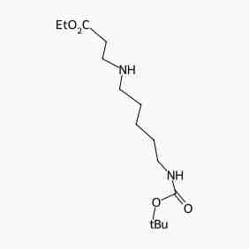 CCOC(=O)CCNCCCCCNC(=O)OC(C)(C)C